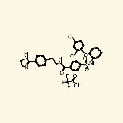 O=C(NCCc1ccc(C2=NCCN2)cc1)c1ccc(S(=O)(=O)Nc2ccccc2Oc2ccc(Cl)cc2Cl)cc1.O=C(O)C(F)(F)F